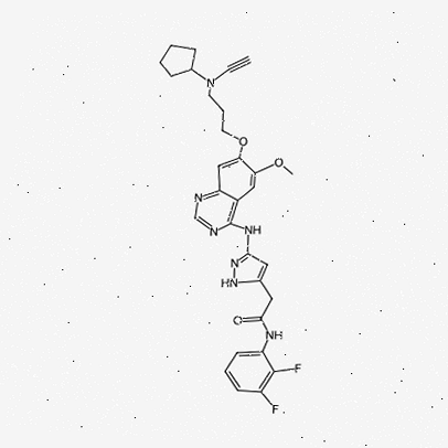 C#CN(CCCOc1cc2ncnc(Nc3cc(CC(=O)Nc4cccc(F)c4F)[nH]n3)c2cc1OC)C1CCCC1